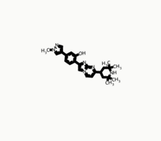 Cn1cc(-c2ccc(-c3cn4ccc(C5CC(C)(C)NC(C)(C)C5)nc4n3)c(O)c2)cn1